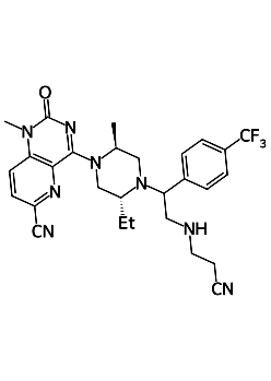 CC[C@@H]1CN(c2nc(=O)n(C)c3ccc(C#N)nc23)[C@@H](C)CN1C(CNCCC#N)c1ccc(C(F)(F)F)cc1